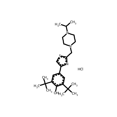 CC(C)N1CCN(Cc2nc(-c3cc(C(C)(C)C)c(O)c(C(C)(C)C)c3)cs2)CC1.Cl